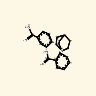 C1CN2CCC1CC2.O=C(O)c1ccccc1.O=C(O)c1ccccc1